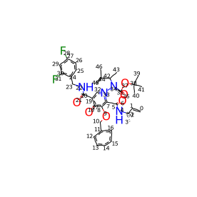 C=C[C@H](C)NC(=O)c1c(OCc2ccccc2)c(=O)c(C(=O)NCc2ccc(F)cc2F)cn1N(C(=O)OC(C)(C)C)C(C)C(=C)C